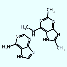 CNc1nc(C)nc2nc(C)[nH]c12.Nc1ncnc2nc[nH]c12